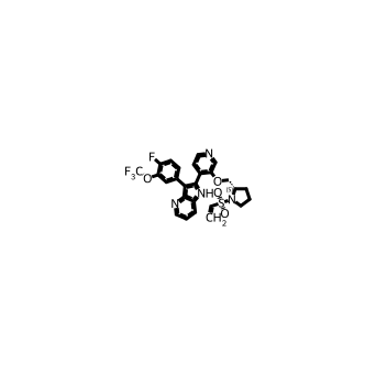 C=CS(=O)(=O)N1CCC[C@H]1COc1cnccc1-c1[nH]c2cccnc2c1-c1ccc(F)c(OC(F)(F)F)c1